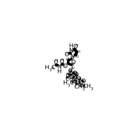 COP(=O)(OC)OP(=O)(OC)OP(=O)(OC)OC[C@H]1O[C@@H](n2ccc(=O)[nH]c2=O)CC1OC(=O)NC(C)=O